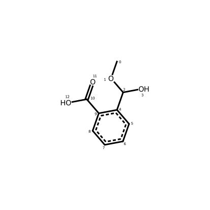 COC(O)c1ccccc1C(=O)O